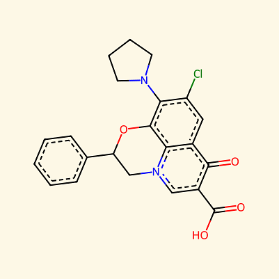 O=C(O)c1cn2c3c(c(N4CCCC4)c(Cl)cc3c1=O)OC(c1ccccc1)C2